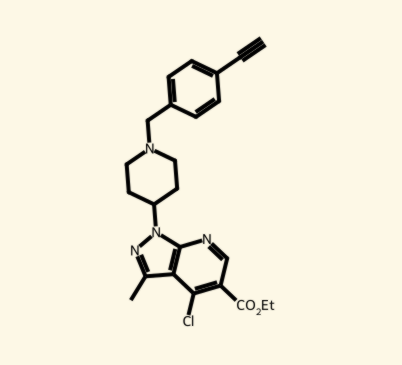 C#Cc1ccc(CN2CCC(n3nc(C)c4c(Cl)c(C(=O)OCC)cnc43)CC2)cc1